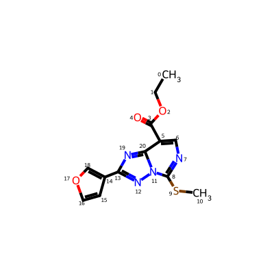 CCOC(=O)c1cnc(SC)n2nc(-c3ccoc3)nc12